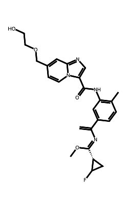 C=C(/N=C(\OC)[C@@H]1CC1F)c1ccc(C)c(NC(=O)c2cnc3cc(COCCO)ccn23)c1